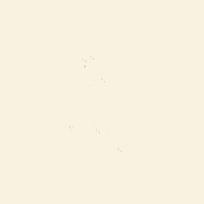 COc1cc(Oc2ccnc(-c3cnn(C)c3)c2)ccc1NC(=O)c1cccn(C(C)C)c1=O